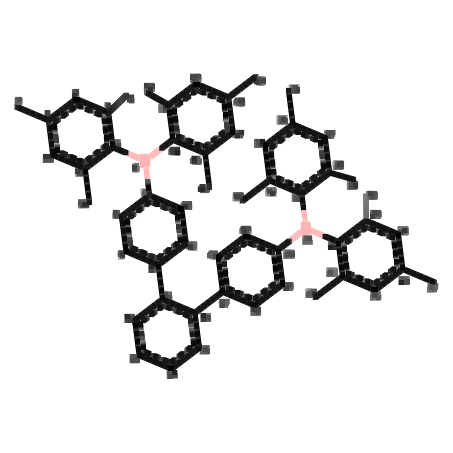 Cc1cc(C)c(B(c2ccc(-c3ccccc3-c3ccc(B(c4c(C)cc(C)cc4C)c4c(C)cc(C)cc4C)cc3)cc2)c2c(C)cc(C)cc2C)c(C)c1